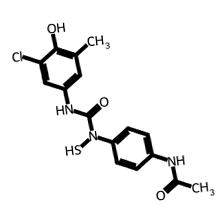 CC(=O)Nc1ccc(N(S)C(=O)Nc2cc(C)c(O)c(Cl)c2)cc1